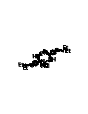 CCN(CC)CCCOc1ccc(-c2c3nc(cc4ccc([nH]4)c(-c4ccc(OCCCN(CC)CC)cc4)c4nc(cc5ccc2[nH]5)C=C4)C=C3)cc1.Cl.Cl